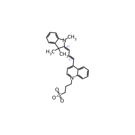 CN1/C(=C/C=C/c2cc[n+](CCCS(=O)(=O)[O-])c3ccccc23)C(C)(C)c2ccccc21